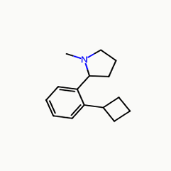 CN1CCCC1c1ccccc1C1CCC1